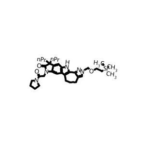 CCCC1(CCC)C(=O)N(CC(=O)N2CCCC2)c2cc3c4c([nH]c3cc21)-c1nn(COCC[Si](C)(C)C)cc1CCC4